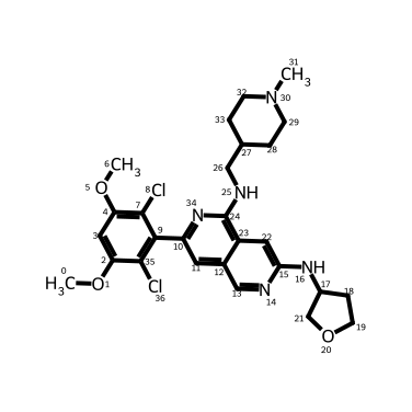 COc1cc(OC)c(Cl)c(-c2cc3cnc(NC4CCOC4)cc3c(NCC3CCN(C)CC3)n2)c1Cl